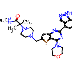 CNC(=O)C(C)(C)N1CCN(Cc2cc3nc(-c4cccc5[nH]ncc45)nc(N4CCOCC4)c3s2)CC1